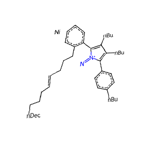 CCCCCCCCCCCCCC=CCCCc1ccccc1C1=C(CCCC)C(CCCC)=C(c2ccc(CCCC)cc2)[N+]1=[N-].[Ni]